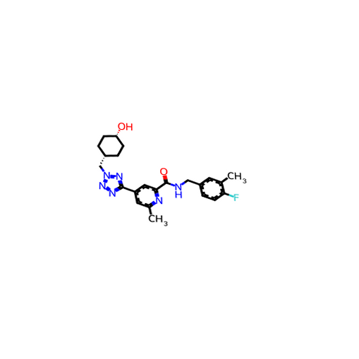 Cc1cc(-c2nnn(C[C@H]3CC[C@@H](O)CC3)n2)cc(C(=O)NCc2ccc(F)c(C)c2)n1